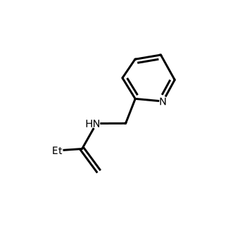 C=C(CC)NCc1ccccn1